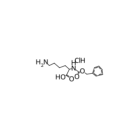 Cl.NCCCCC(NC(=O)OCc1ccccc1)C(=O)O